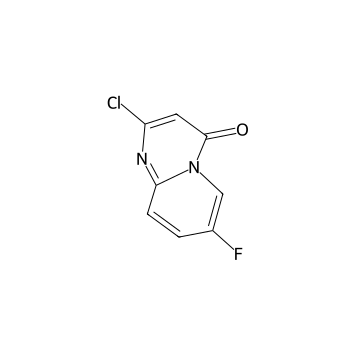 O=c1cc(Cl)nc2ccc(F)cn12